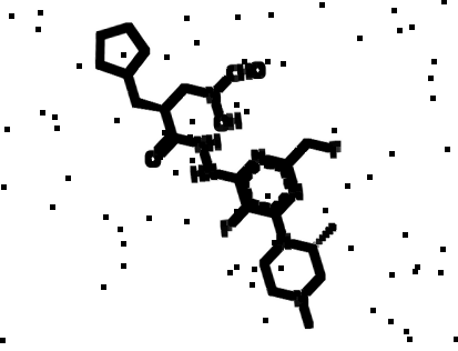 C[C@@H]1CN(C)CCN1c1nc(CF)nc(NNC(=O)[C@@H](CC2CCCC2)CN(O)C=O)c1F